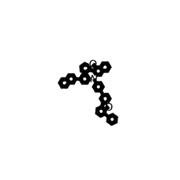 c1ccc(-c2cccc3c2oc2ccc(-c4ccc(N(c5ccc(-c6ccc7ccccc7c6)cc5)c5cc6ccccc6c6oc7ccccc7c56)cc4)cc23)cc1